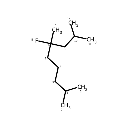 CC(C)CCCC(C)(F)CC(C)C